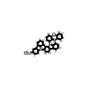 CC(C)(C)c1ccc2c(c1)c1cccc3c4c5c(ccc4n2c13)c1cccc2c1n5-c1cccc3c1B2c1ccccc1O3